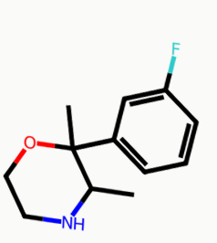 CC1NCCOC1(C)c1cccc(F)c1